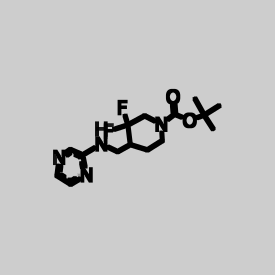 CC(C)(C)OC(=O)N1CCC(CNc2cnccn2)C(F)(F)C1